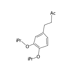 CC(=O)CCc1ccc(OC(C)C)c(OC(C)C)c1